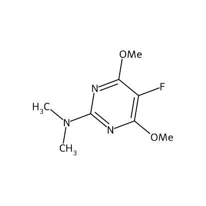 COc1nc(N(C)C)nc(OC)c1F